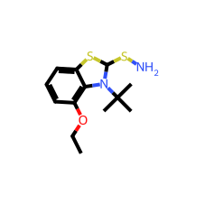 CCOc1cccc2c1N(C(C)(C)C)C(SN)S2